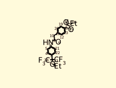 CCOC(c1ccc(NC(=O)Cc2ccc(S(=O)(=O)CC)cc2)cc1)(C(F)(F)F)C(F)(F)F